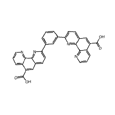 O=C(O)c1cc2ccc(-c3cccc(-c4ccc5cc(C(=O)O)c6cccnc6c5n4)c3)nc2c2ncccc12